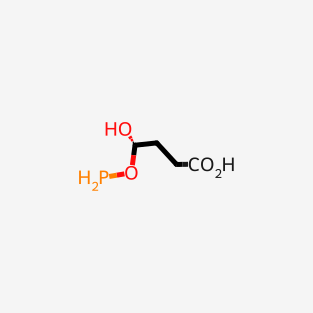 O=C(O)CC[C@@H](O)OP